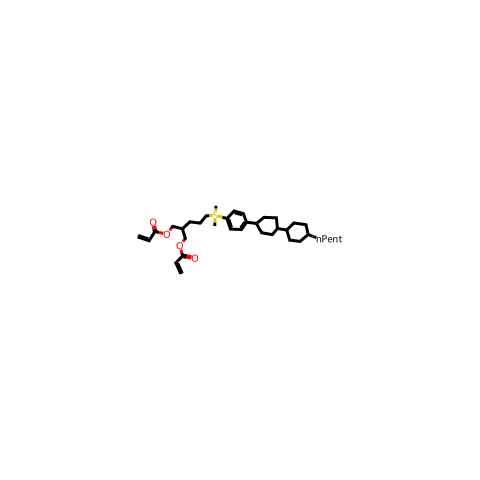 C=CC(=O)OCC(CCCS(C)(C)c1ccc(C2CCC(C3CCC(CCCCC)CC3)CC2)cc1)COC(=O)C=C